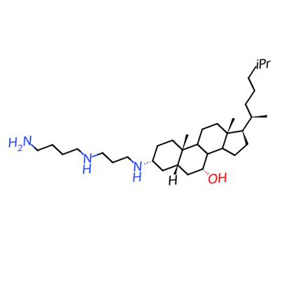 CC(C)CCC[C@@H](C)[C@H]1CCC2C3C(CC[C@@]21C)[C@@]1(C)CC[C@@H](NCCCNCCCCN)C[C@H]1C[C@H]3O